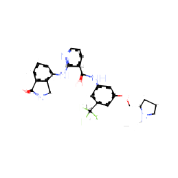 CN1CCC[C@H]1COc1cc(NC(=O)c2cccnc2Nc2cccc3c2CNC3=O)cc(C(F)(F)F)c1